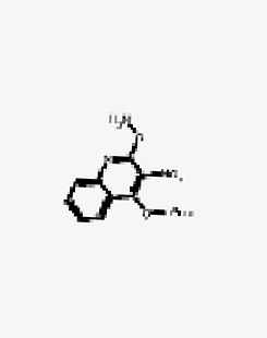 CCCCCOc1c([N+](=O)[O-])c(ON)nc2ccccc12